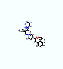 C=C(CN1CCC(C(=O)Cc2ccccc2C)CC1)C(=O)N/C=C\N